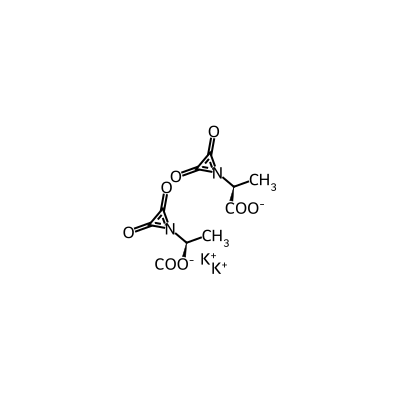 C[C@@H](C(=O)[O-])n1c(=O)c1=O.C[C@@H](C(=O)[O-])n1c(=O)c1=O.[K+].[K+]